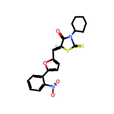 O=C1/C(=C/c2ccc(-c3ccccc3[N+](=O)[O-])o2)SC(=S)N1C1CCCCC1